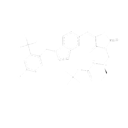 CC[C@H](CN1C(=O)SC(=Cc2ccc3c(cnn3Cc3ccc(Cl)cc3C(F)(F)F)c2)C1=O)NC(=O)OC(C)(C)C